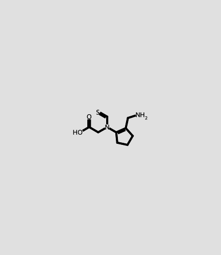 NCC1=C(N(C=S)CC(=O)O)CCC1